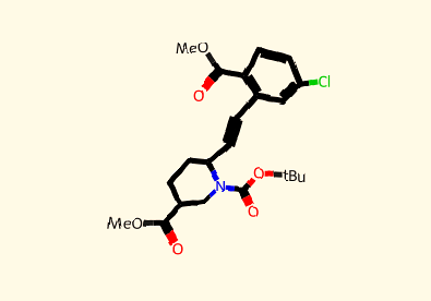 COC(=O)c1ccc(Cl)cc1C#CC1CCC(C(=O)OC)CN1C(=O)OC(C)(C)C